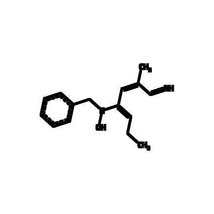 CC/C=C(/C=C(/C)C=N)N(O)Cc1ccccc1